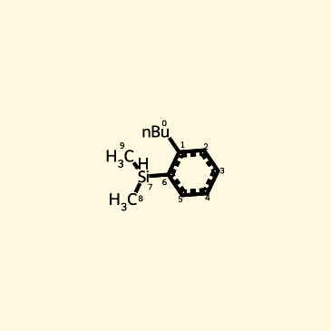 CCCCc1ccccc1[SiH](C)C